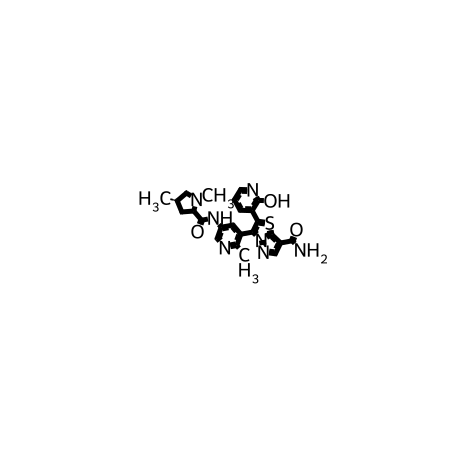 Cc1ncc(NC(=O)C2C[C@H](C)CN2C)cc1-c1c(-c2cccnc2O)sc2c(C(N)=O)cnn12